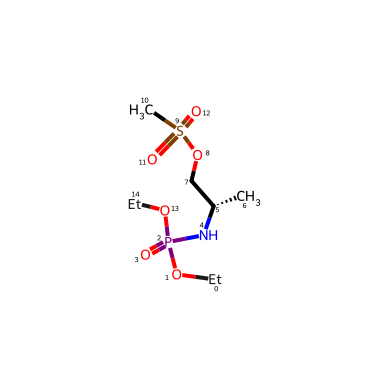 CCOP(=O)(N[C@@H](C)COS(C)(=O)=O)OCC